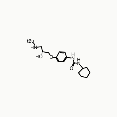 CC(C)(C)NC[C@@H](O)COc1ccc(NC(=O)NC2CCCCC2)cc1